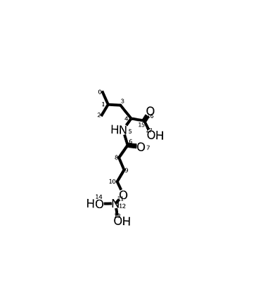 CC(C)CC(NC(=O)CCCON(O)O)C(=O)O